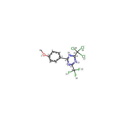 COc1ccc(-c2nc(C(F)(F)F)nc(C(Cl)(Cl)Cl)n2)cc1